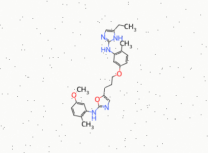 CCc1cnc(Nc2cc(OCCCc3cnc(Nc4cc(OC)ccc4C)o3)ccc2C)[nH]1